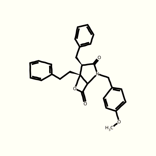 COc1ccc(CN2C(=O)[C@H](Cc3ccccc3)[C@@]3(CCc4ccccc4)OC(=O)C23)cc1